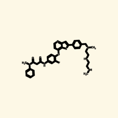 CNCCNCCN(C)Cc1ccc(-c2cc3nccc(Oc4ccc(NC(=O)CC(=O)N(C)c5ccccc5)cc4F)c3s2)cc1